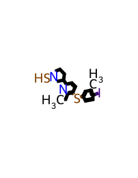 CCc1nc(C2CCCN(S)C2)ccc1Sc1ccc(I)c(C)c1